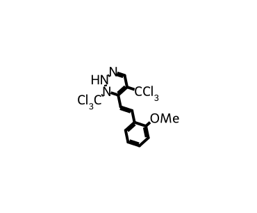 COc1ccccc1C=CC1=C(C(Cl)(Cl)Cl)C=NNN1C(Cl)(Cl)Cl